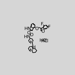 Cl.Cl.O=C(NC1CCN(C[C@@H]2CCCN3CCCC[C@H]23)CC1)Oc1cc2c(OCc3coc4cc(F)cc(F)c34)cccc2[nH]1